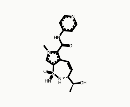 C[C@H](O)[C@H]1C=Cc2c(cn(C)c2C(=O)Nc2ccncc2)S(=N)(=O)N1